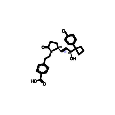 O=C(O)c1ccc(CCN2C(=O)CC[C@@H]2/C=C/[C@@H](O)C2(c3ccc(Cl)cc3)CCC2)cc1